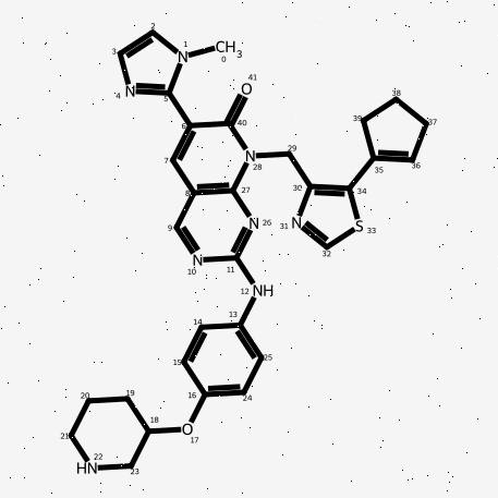 Cn1ccnc1-c1cc2cnc(Nc3ccc(OC4CCCNC4)cc3)nc2n(Cc2ncsc2C2=CCCC2)c1=O